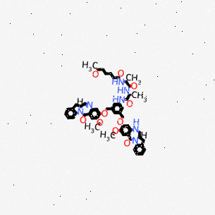 COc1cc2c(cc1OCc1cc(COc3cc4c(cc3OC)C(=O)N3c5ccccc5C[C@H]3CN4)cc(NC(=O)[C@H](C)NC(=O)[C@@H](C)NC(=O)CCCCC(C)=O)c1)N=C[C@@H]1Cc3ccccc3N1C2=O